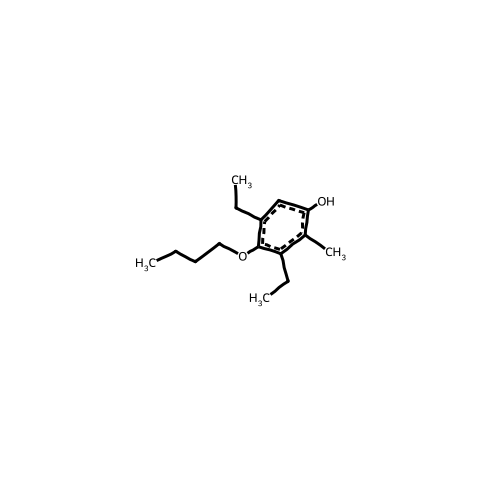 CCCCOc1c(CC)cc(O)c(C)c1CC